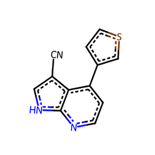 N#Cc1c[nH]c2nccc(-c3ccsc3)c12